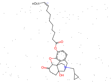 CCCCCCCC/C=C\CCCCCCCC(=O)Oc1ccc2c3c1OC1C(=O)CCC4(O)C(C2)N(CC2CC2)CCC314